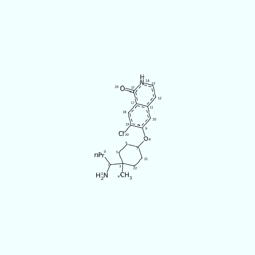 CCCC(N)C1(C)CCC(Oc2cc3cc[nH]c(=O)c3cc2Cl)CC1